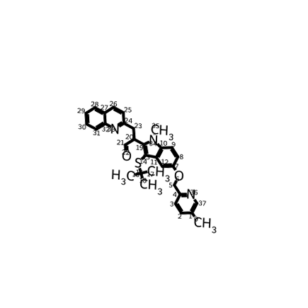 Cc1ccc(COc2ccc3c(c2)c(SC(C)(C)C)c(C(C=O)Cc2ccc4ccccc4n2)n3C)nc1